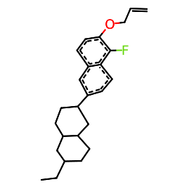 C=CCOc1ccc2cc(C3CCC4CC(CC)CCC4C3)ccc2c1F